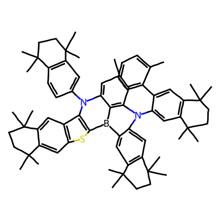 Cc1cc2c3c(c1)N(c1ccc4c(c1)C(C)(C)CCC4(C)C)c1c(sc4cc5c(cc14)C(C)(C)CCC5(C)C)B3c1cc3c(cc1N2c1cc2c(cc1-c1ccccc1C)C(C)(C)CCC2(C)C)C(C)(C)CCC3(C)C